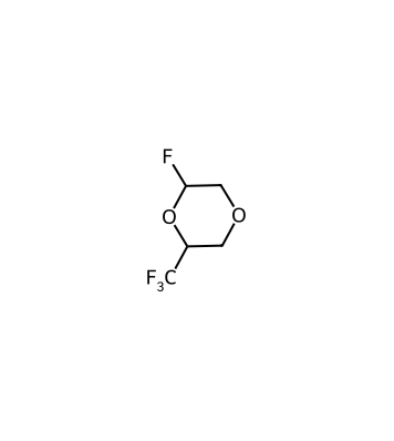 FC1COCC(C(F)(F)F)O1